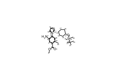 COC(=O)c1cc(N)c(-n2ccnc2[C@H]2CC[C@H](O[Si](C)(C)C(C)(C)C)CC2)cc1C